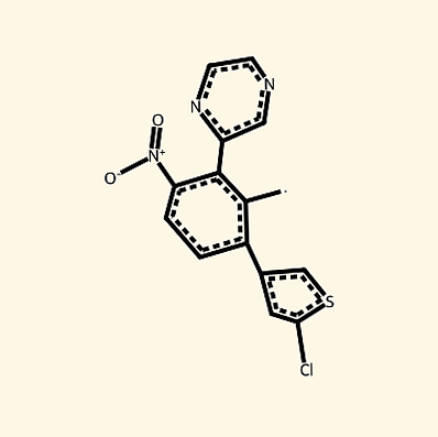 [CH2]c1c(-c2csc(Cl)c2)ccc([N+](=O)[O-])c1-c1cnccn1